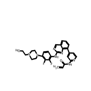 C=CC(=O)Nc1cc(-c2cccc3cnc(Nc4ccc(N5CCN(CCO)CC5)c(F)c4F)nc23)ccn1